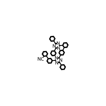 N#Cc1ccccc1-c1cccc(-c2nc(-c3ccccc3)nc(-c3ccc(-c4ccccc4-c4nc(-c5ccccc5)nc(-c5ccccc5)n4)cc3)n2)c1